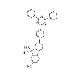 CC1(C)c2cc(C#N)ccc2-c2ccc(-c3ccc(-c4nc(-c5ccccc5)nc(-c5ccccc5)n4)cc3)cc21